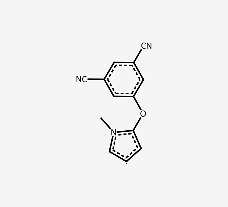 Cn1c[c]cc1Oc1cc(C#N)cc(C#N)c1